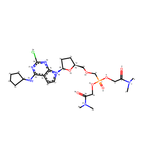 CN(C)C(=O)COP(=O)(COC[C@@H]1CC[C@H](n2ccc3c(NC4CCCC4)nc(Cl)nc32)O1)OCC(=O)N(C)C